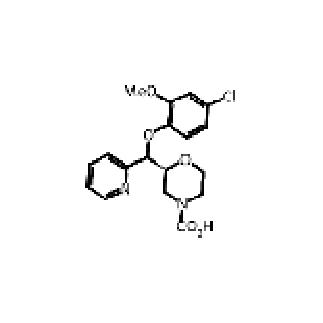 COc1cc(Cl)ccc1OC(c1ccccn1)[C@@H]1CN(C(=O)O)CCO1